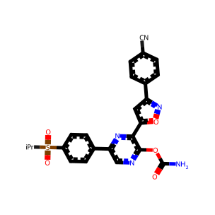 CC(C)S(=O)(=O)c1ccc(-c2cnc(OC(N)=O)c(-c3cc(-c4ccc(C#N)cc4)no3)n2)cc1